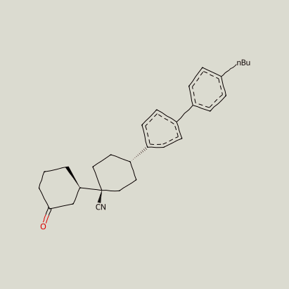 CCCCc1ccc(-c2ccc([C@H]3CC[C@@](C#N)([C@@H]4CCCC(=O)C4)CC3)cc2)cc1